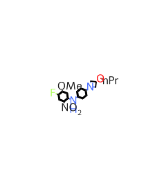 CCCOC1CN(c2ccc(Nc3cc(OC)c(F)cc3[N+](=O)[O-])cc2)C1